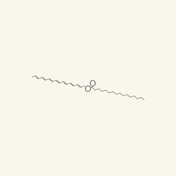 CC=CC=CC=CC=CC=CC=CC=CCOC(=O)CCCCCCCCCCCCCCC